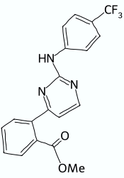 COC(=O)c1ccccc1-c1ccnc(Nc2ccc(C(F)(F)F)cc2)n1